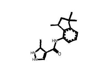 CC1NNC=C1C(=O)Nc1cccc2c1C(C)CC2(C)C